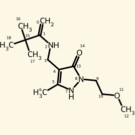 C=C(NCc1c(C)[nH]n(CCOC)c1=O)C(C)(C)C